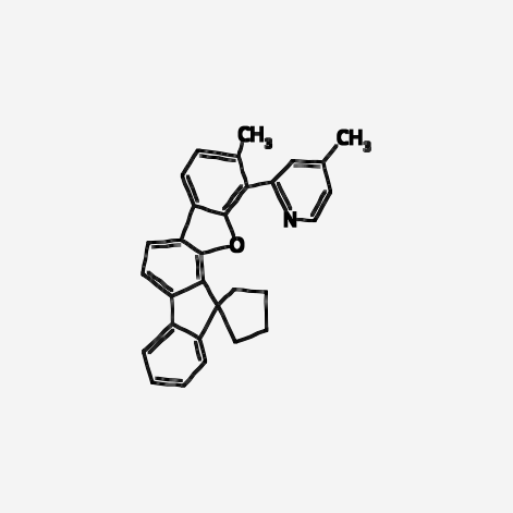 Cc1ccnc(-c2c(C)ccc3c2oc2c4c(ccc23)-c2ccccc2C42CCCC2)c1